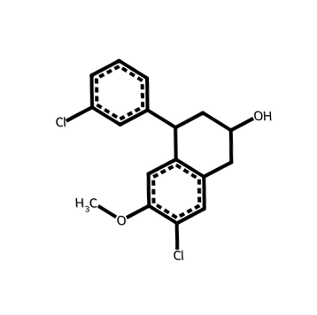 COc1cc2c(cc1Cl)CC(O)CC2c1cccc(Cl)c1